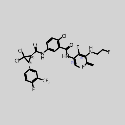 C=C(F)/C(NCCF)=C(F)\C(=C/C)NC(=O)c1cc(NC(=O)[C@H]2[C@H](c3ccc(F)c(C(F)(F)F)c3)C2(Cl)Cl)ccc1Cl